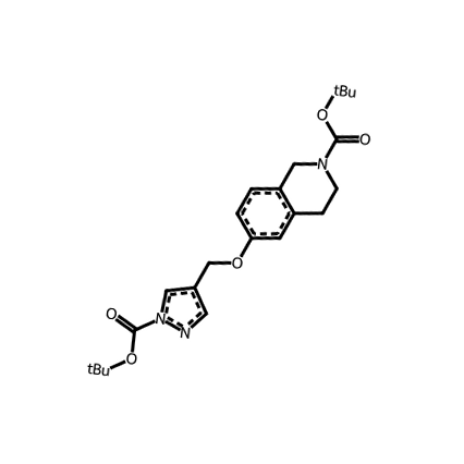 CC(C)(C)OC(=O)N1CCc2cc(OCc3cnn(C(=O)OC(C)(C)C)c3)ccc2C1